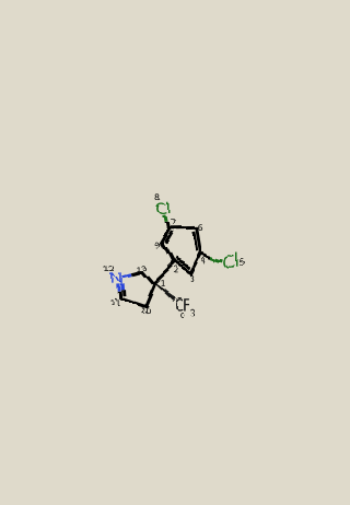 FC(F)(F)[C@@]1(c2cc(Cl)cc(Cl)c2)C[C]=NC1